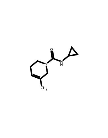 CC1=CCCN(C(=O)NC2CC2)C1